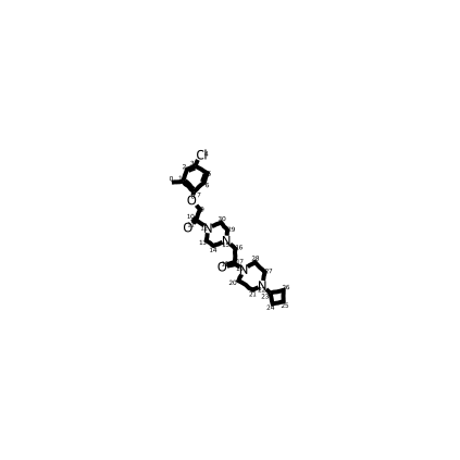 Cc1cc(Cl)ccc1OCC(=O)N1CCN(CC(=O)N2CCN(C3CCC3)CC2)CC1